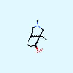 CN1CC2CC(O)C2(C)C1